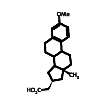 COc1ccc2c(c1)CCC1C2CC[C@]2(C)C[C@H](CC(=O)O)CC12